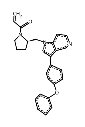 C=CC(=O)N1CCC[C@@H]1Cn1nc(-c2ccc(Oc3ccccc3)cc2)c2cnccc21